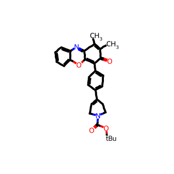 Cc1c2nc3ccccc3oc-2c(-c2ccc(C3=CCN(C(=O)OC(C)(C)C)CC3)cc2)c(=O)c1C